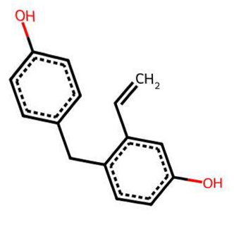 C=Cc1cc(O)ccc1Cc1ccc(O)cc1